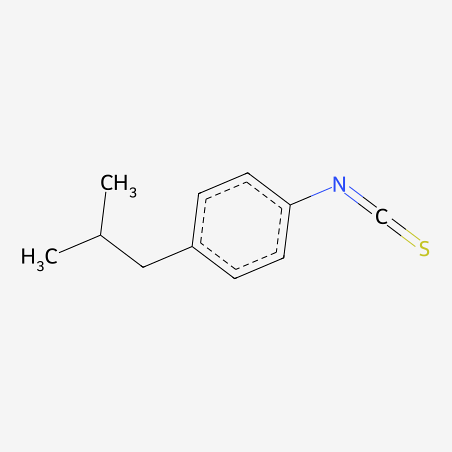 CC(C)Cc1ccc(N=C=S)cc1